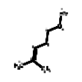 [CH2]CCOCCC=C(C)C